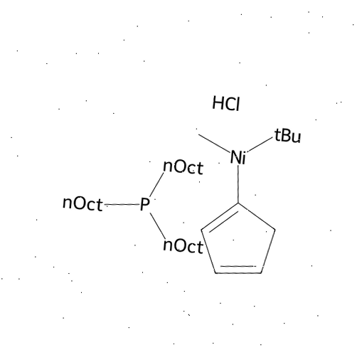 CCCCCCCCP(CCCCCCCC)CCCCCCCC.Cl.[CH3][Ni]([C]1=CC=CC1)[C](C)(C)C